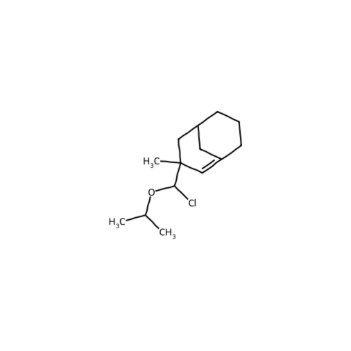 CC(C)OC(Cl)C1(C)C=C2CCCC(C2)C1